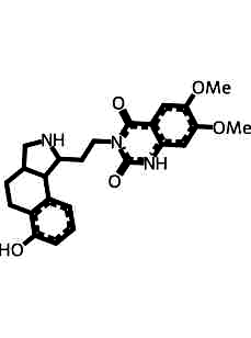 COc1cc2[nH]c(=O)n(CCC3NCC4CCc5c(O)cccc5C43)c(=O)c2cc1OC